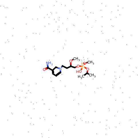 COC(CCN1C=CC=C(C(N)=O)C1)CO[PH](O)(OC)OC(C)C